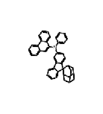 c1ccc(N(c2ccc3c(c2)-c2ccccc2C32C3CC4CC(C3)CC2C4)c2cc3ccccc3c3ccccc23)cc1